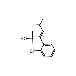 C=C(C)/C=C(/c1ccccc1Cl)C(C)(C)O